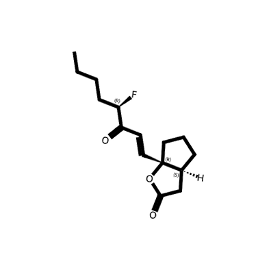 CCCC[C@@H](F)C(=O)C=C[C@@]12CCC[C@H]1CC(=O)O2